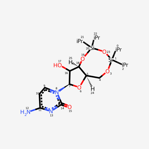 CC(C)[Si]1(C(C)C)OC[C@H]2O[C@@H](n3ccc(N)nc3=O)C(O)[C@H]2O[Si](C(C)C)(C(C)C)O1